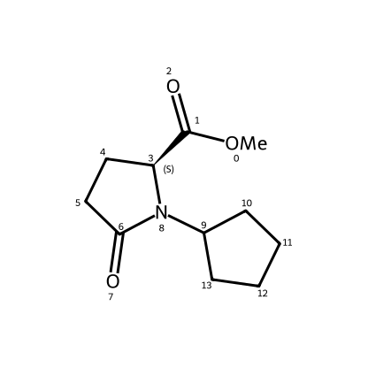 COC(=O)[C@@H]1CCC(=O)N1C1CCCC1